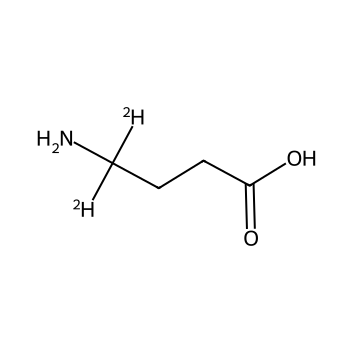 [2H]C([2H])(N)CCC(=O)O